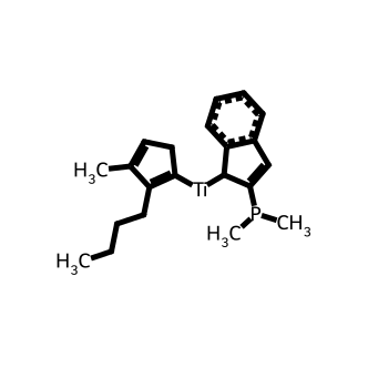 CCCCC1=[C]([Ti][CH]2C(P(C)C)=Cc3ccccc32)CC=C1C